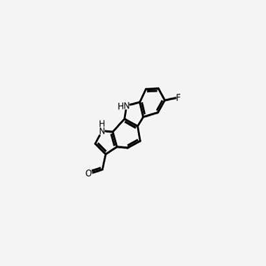 O=Cc1c[nH]c2c1ccc1c3cc(F)ccc3[nH]c12